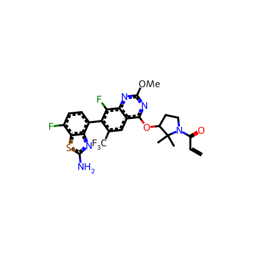 C=CC(=O)N1CCC(Oc2nc(OC)nc3c(F)c(-c4ccc(F)c5sc(N)nc45)c(C(F)(F)F)cc23)C1(C)C